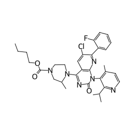 CCCCOC(=O)N1CCN(c2nc(=O)n(-c3c(C)ccnc3C(C)C)c3nc(-c4ccccc4F)c(Cl)cc23)C(C)C1